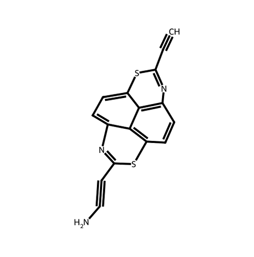 C#CC1=Nc2ccc3c4c(ccc(c24)S1)N=C(C#CN)S3